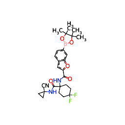 CC1(C)OB(c2ccc3cc(C(=O)NC4(C(=O)NC5(C#N)CC5)CCC(F)(F)CC4)oc3c2)OC1(C)C